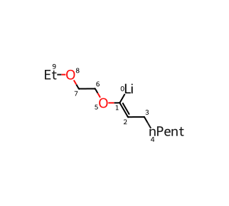 [Li]/[C](=C\CCCCCC)OCCOCC